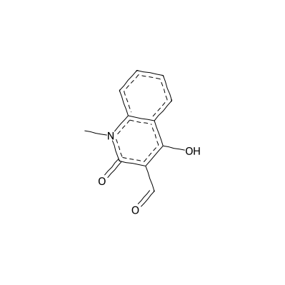 Cn1c(=O)c(C=O)c(O)c2ccccc21